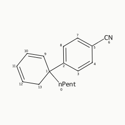 CCCCCC1(c2ccc(C#N)cc2)C=CC=CC1